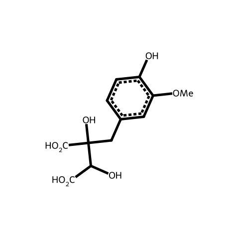 COc1cc(CC(O)(C(=O)O)C(O)C(=O)O)ccc1O